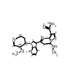 CNc1cc(-c2cn([C@@H]3CCOC[C@@H]3OC)c3ncccc23)nc2c(C(N)=O)cnn12